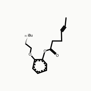 CC#CCCC(=O)Oc1ccccc1OCC[C@@H](C)CC